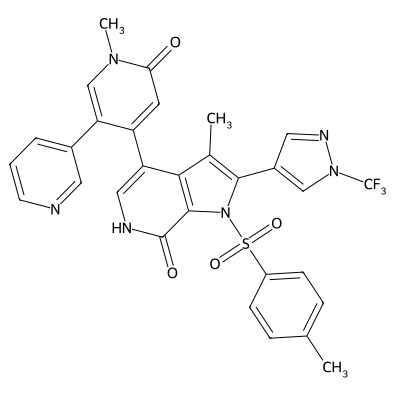 Cc1ccc(S(=O)(=O)n2c(-c3cnn(C(F)(F)F)c3)c(C)c3c(-c4cc(=O)n(C)cc4-c4cccnc4)c[nH]c(=O)c32)cc1